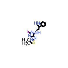 CC1(C)CSc2nc3c(NCCc4c[nH]c5ccccc45)nc(I)nc3n21